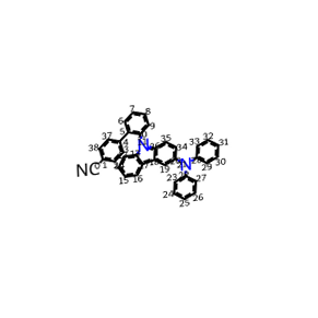 N#Cc1ccc(-c2ccccc2-n2c3ccccc3c3cc(N(c4ccccc4)c4ccccc4)ccc32)cc1